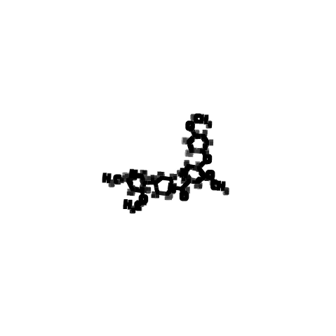 COc1ccc(Oc2cnc(C(=O)N3CCC(c4cnc(C)cc4OC)CC3)cc2OC)cc1